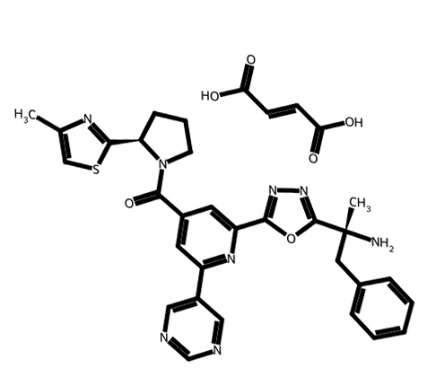 Cc1csc([C@H]2CCCN2C(=O)c2cc(-c3cncnc3)nc(-c3nnc([C@](C)(N)Cc4ccccc4)o3)c2)n1.O=C(O)C=CC(=O)O